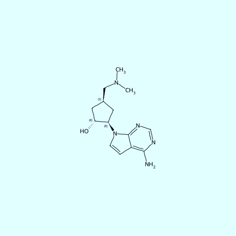 CN(C)C[C@@H]1C[C@@H](O)[C@H](n2ccc3c(N)ncnc32)C1